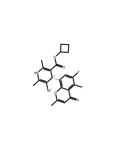 [C-]#[N+]C1=C(C)NC(C)=C(C(=O)OC2CCC2)[C@@H]1c1cc(F)c(F)c2c(=O)cc(C)oc12